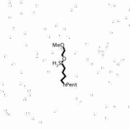 CCCCCCCCC[SiH2]OCCOC